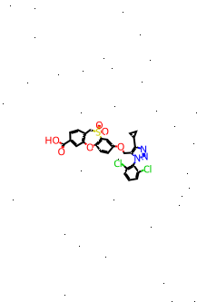 O=C(O)c1ccc2c(c1)Oc1ccc(OCc3c(C4CC4)nnn3-c3c(Cl)cccc3Cl)cc1S(=O)(=O)C2